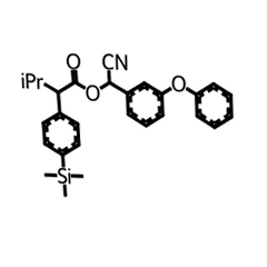 CC(C)C(C(=O)OC(C#N)c1cccc(Oc2ccccc2)c1)c1ccc([Si](C)(C)C)cc1